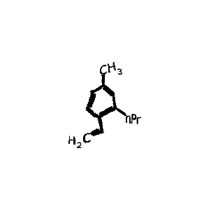 C=Cc1ccc(C)cc1CCC